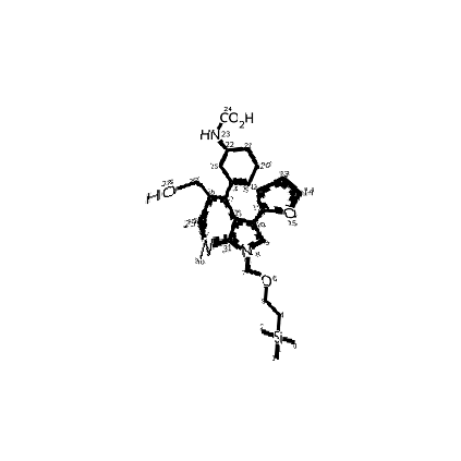 C[Si](C)(C)CCOCn1cc(-c2ccco2)c2c(C3=CCCC(NC(=O)O)C3)c(CO)cnc21